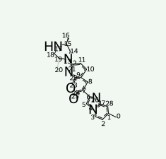 Cc1ccn2cc(-c3cc4ccc(N5C[C@H](C)NC[C@H]5C)nc4oc3=O)nc2c1